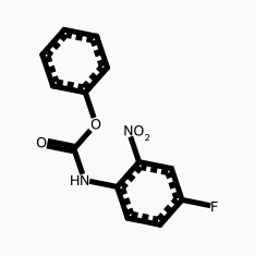 O=C(Nc1ccc(F)cc1[N+](=O)[O-])Oc1ccccc1